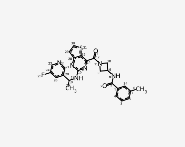 Cc1cccc(C(=O)NC2CN(C(=O)c3nc(N[C@@H](C)c4cncc(F)c4)nc4ccsc34)C2)c1